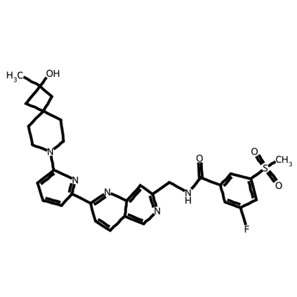 CC1(O)CC2(CCN(c3cccc(-c4ccc5cnc(CNC(=O)c6cc(F)cc(S(C)(=O)=O)c6)cc5n4)n3)CC2)C1